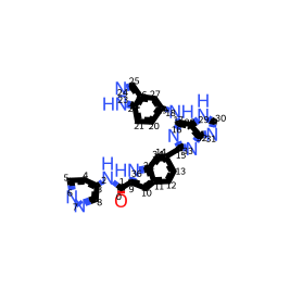 O=C(Nc1ccnnc1)c1cc2ccc(-c3nc(Nc4ccc5[nH]ncc5c4)c4[nH]cnc4n3)cc2[nH]1